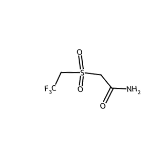 NC(=O)CS(=O)(=O)CC(F)(F)F